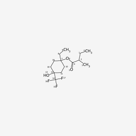 CCC(C)C(=O)OC1(CC)CCC(O)(C(F)(F)F)CC1